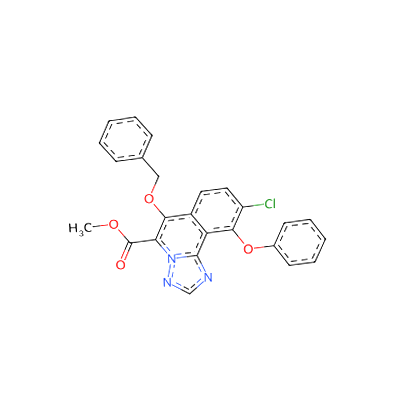 COC(=O)c1c(OCc2ccccc2)c2ccc(Cl)c(Oc3ccccc3)c2c2ncnn12